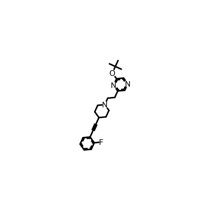 CC(C)(C)Oc1cncc(CCN2CCC(C#Cc3ccccc3F)CC2)n1